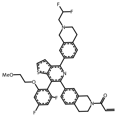 C=CC(=O)N1CCc2ccc(-c3nc(-c4ccc5c(c4)CN(CC(F)F)CC5)c4ccsc4c3-c3c(F)cc(F)cc3OCCOC)cc2C1